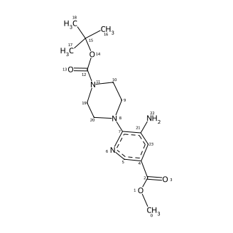 COC(=O)c1cnc(N2CCN(C(=O)OC(C)(C)C)CC2)c(N)c1